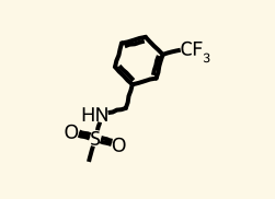 CS(=O)(=O)NCc1cccc(C(F)(F)F)c1